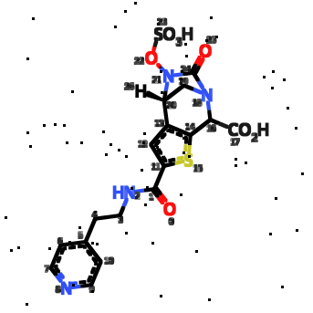 O=C(NCCc1ccncc1)c1cc2c(s1)C(C(=O)O)N1C[C@H]2N(OS(=O)(=O)O)C1=O